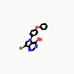 Oc1ncnc2c(Br)cn(-c3ccc(Oc4ccccc4)cc3)c12